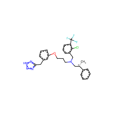 C[C@@H](CN(CCCOc1cccc(Cc2nn[nH]n2)c1)Cc1cccc(C(F)(F)F)c1Cl)c1ccccc1